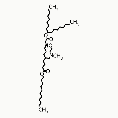 CCCCCCCCCCCOC(=O)CCCC(CCCCCC(=O)OC(CCCCCCCC)CCCCCCCC)CN(C)CCO